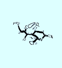 CCOC(=O)/C(=C\O)C(=O)c1ccc(Cl)nc1Cl